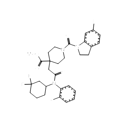 COC(=O)C1(CC(=O)N(c2ccccc2F)C2CCCC(F)(F)C2)CCN(C(=O)N2CCc3ccc(F)cc32)CC1